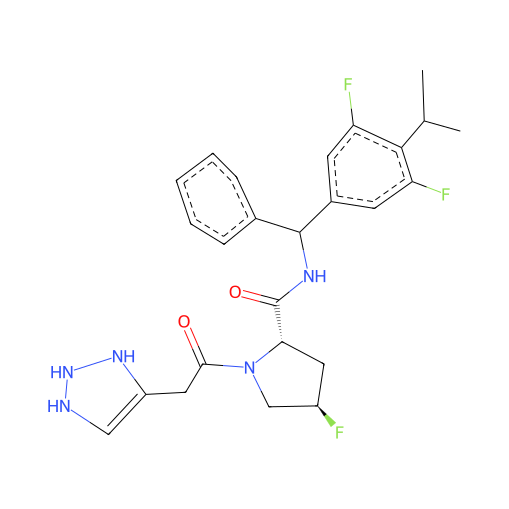 CC(C)c1c(F)cc(C(NC(=O)[C@@H]2C[C@@H](F)CN2C(=O)CC2=CNNN2)c2ccccc2)cc1F